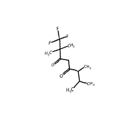 CC(C)C(C)C(=O)CC(=O)C(C)(C)C(F)(F)F